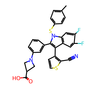 Cc1ccc(Sn2c(-c3cccc(N4CC(C(=O)O)C4)c3)c(-c3ccsc3C#N)c3cc(F)c(F)cc32)cc1